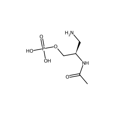 CC(=O)N[C@H](CN)COP(=O)(O)O